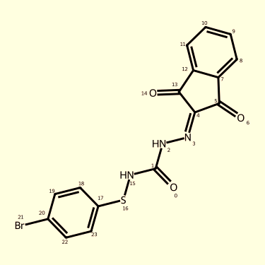 O=C(NN=c1c(=O)c2ccccc2c1=O)NSc1ccc(Br)cc1